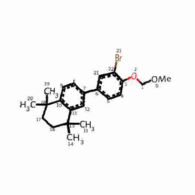 COCOc1ccc(-c2ccc3c(c2)C(C)(C)CCC3(C)C)cc1Br